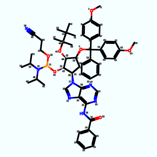 COc1ccc(C(O[C@H]2C[C@@H](n3cnc4c(NC(=O)c5ccccc5)ncnc43)[C@H](OP(OCCC#N)N(C(C)C)C(C)C)[C@@H]2O[Si](C)(C)C(C)(C)C)(c2ccccc2)c2ccc(OC)cc2)cc1